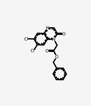 O=C(Cn1c(=O)cnc2cc(Cl)c(Cl)cc21)OCc1ccccc1